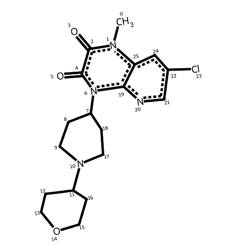 Cn1c(=O)c(=O)n(C2CCN(C3CCOCC3)CC2)c2ncc(Cl)cc21